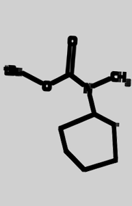 CN(C(=O)OC(C)(C)C)C1[CH]CCCC1